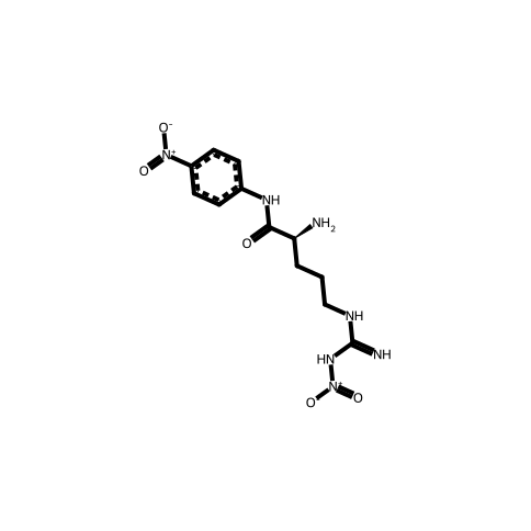 N=C(NCCC[C@H](N)C(=O)Nc1ccc([N+](=O)[O-])cc1)N[N+](=O)[O-]